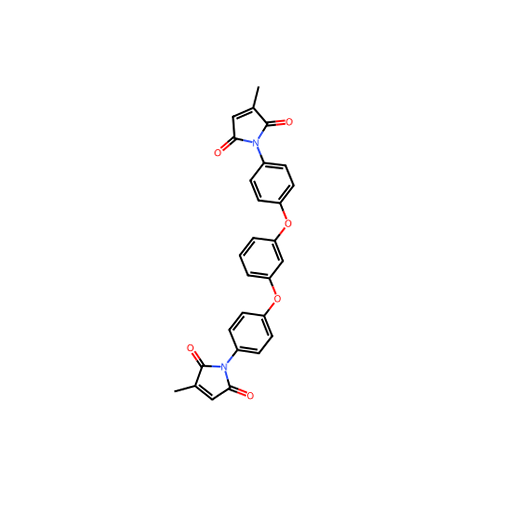 CC1=CC(=O)N(c2ccc(Oc3cccc(Oc4ccc(N5C(=O)C=C(C)C5=O)cc4)c3)cc2)C1=O